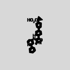 Cc1noc(-c2ccc(-c3ccc(C4(C(=O)O)CC4)cc3)cc2)c1Nc1ccnc(-c2ccccc2)c1